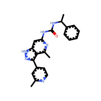 Cc1cc(-c2n[nH]c3cc(NC(=O)NC(C)c4ccccc4)nc(C)c23)ccn1